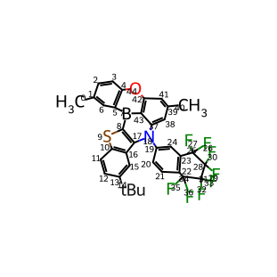 Cc1ccc2c(c1)B1c3sc4ccc(C(C)(C)C)cc4c3N(c3ccc4c(c3)C(F)(F)C(F)(F)C(F)(F)C4(F)F)c3cc(C)cc(c31)O2